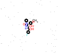 COc1ccc([C@@H]2[C@@H](CCC(O)c3ccc(F)cc3)NC(=O)N2c2ccccc2)c(O)c1